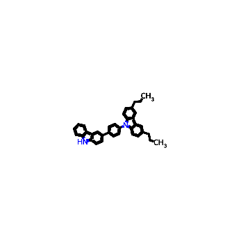 CCCc1ccc2c(c1)c1cc(CCC)ccc1n2-c1ccc(-c2ccc3[nH]c4ccccc4c3c2)cc1